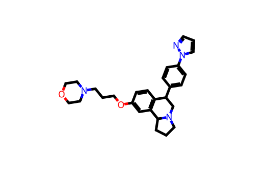 c1cnn(-c2ccc(C3CN4CCCC4c4cc(OCCCN5CCOCC5)ccc43)cc2)c1